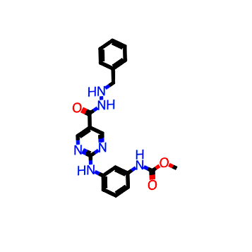 COC(=O)Nc1cccc(Nc2ncc(C(=O)NNCc3ccccc3)cn2)c1